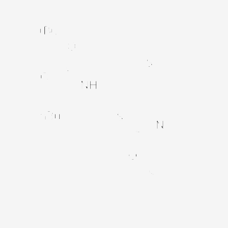 CCCC[C@@H](CSC(=O)N(Cc1cccs1)Cc1cccs1)NC(=O)OC(C)(C)C